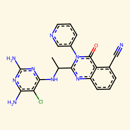 CC(Nc1nc(N)nc(N)c1Cl)c1nc2cccc(C#N)c2c(=O)n1-c1cccnc1